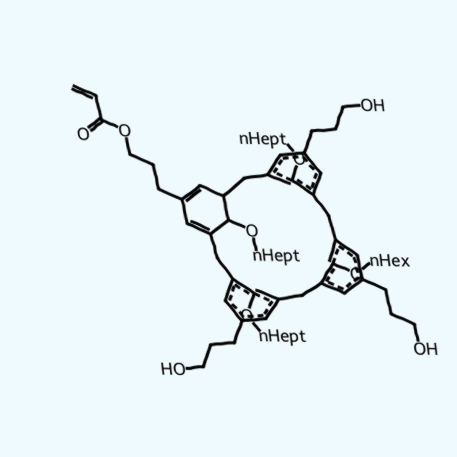 C=CC(=O)OCCCC1=CC2Cc3cc(CCCO)cc(c3OCCCCCCC)Cc3cc(CCCO)cc(c3OCCCCCC)Cc3cc(CCCO)cc(c3OCCCCCCC)CC(=C1)C2OCCCCCCC